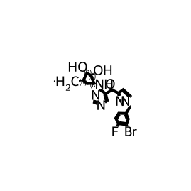 [CH2][C@@H]1C[C@@H](Nc2ncncc2C(=O)c2ccn(Cc3ccc(F)c(Br)c3)n2)[C@H](O)[C@@H]1O